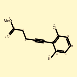 COC(=O)CCC#Cc1c(Cl)cccc1Br